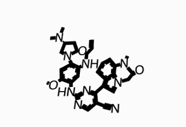 C=CC(=O)Nc1cc(Nc2ncc(C#N)c(-c3cn4c5c(cccc35)N(C)C(=O)C4)n2)c(OC)cc1N1CC[C@@H](N(C)C)C1